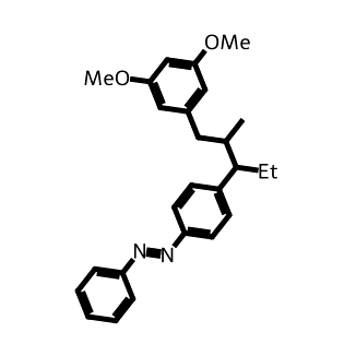 CCC(c1ccc(N=Nc2ccccc2)cc1)C(C)Cc1cc(OC)cc(OC)c1